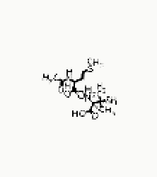 CC(C)(S)[C@@H](N)C(=O)O.CSCCC(NC(C)=O)C(=O)O